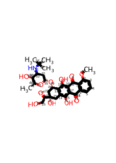 COc1cccc2c1C(=O)c1c(O)c3c(c(O)c1C2=O)C[C@@](O)(C(=O)CO)C[C@@H]3O[C@H]1CC(NC(C)(C)C)[C@H](O)[C@H](C)O1